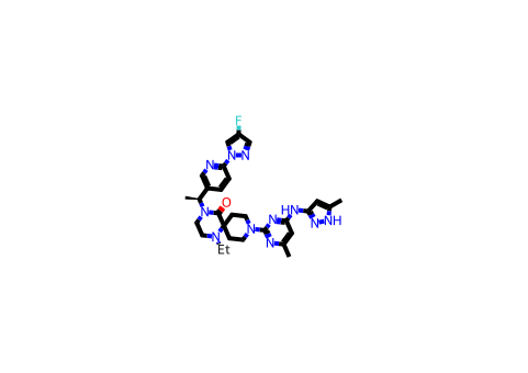 CCN1CCN([C@@H](C)c2ccc(-n3cc(F)cn3)nc2)C(=O)C12CCN(c1nc(C)cc(Nc3cc(C)[nH]n3)n1)CC2